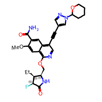 CC[C@@H]1[C@H](F)C(=O)N[C@@H]1COc1ncc(C#Cc2cnn(C3CCCCO3)c2)c2cc(C(N)=O)c(OC)cc12